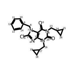 O=c1c2c(nc(Cl)n2Cc2ccccc2)n(CC2CC2)c(=O)n1CC1CC1